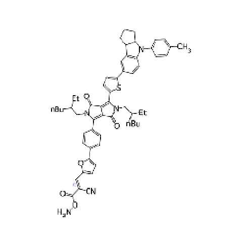 CCCCC(CC)CN1C(=O)C2=C(c3ccc(-c4ccc5c(c4)C4CCCC4N5c4ccc(C)cc4)s3)N(CC(CC)CCCC)C(=O)C2=C1c1ccc(-c2ccc(/C=C(\C#N)C(=O)ON)o2)cc1